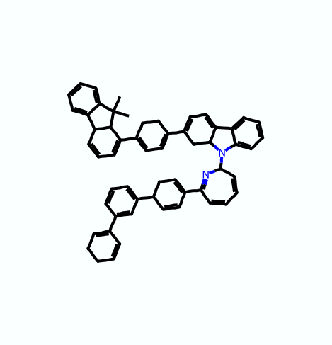 CC1(C)c2ccccc2C2C=CC=C(C3=CC=C(C4=CC=C5c6ccccc6N(C6C=CC=CC(C7=CCC(c8cccc(C9=CCCC=C9)c8)C=C7)=N6)C5C4)CC3)C21